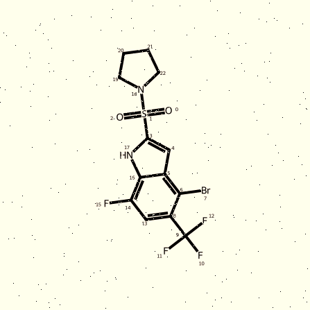 O=S(=O)(c1cc2c(Br)c(C(F)(F)F)cc(F)c2[nH]1)N1CCCC1